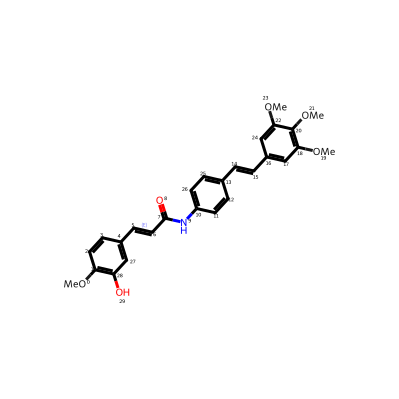 COc1ccc(/C=C/C(=O)Nc2ccc(C=Cc3cc(OC)c(OC)c(OC)c3)cc2)cc1O